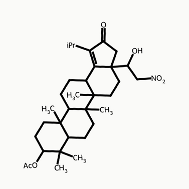 CC(=O)OC1CCC2(C)C(CCC3(C)C2CCC2C4=C(C(C)C)C(=O)CC4(C(O)C[N+](=O)[O-])CCC23C)C1(C)C